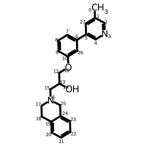 Cc1cncc(-c2cccc(OCC(O)CN3CCc4ccccc4C3)c2)c1